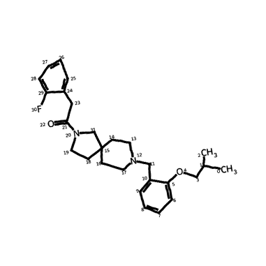 CC(C)COc1ccccc1CN1CCC2(CC1)CCN(C(=O)Cc1ccccc1F)C2